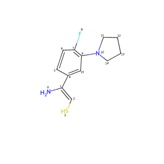 N/C(=C\S)c1ccc(F)c(N2CCCC2)c1